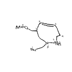 COC1C=CCNN1C(C)(C)C